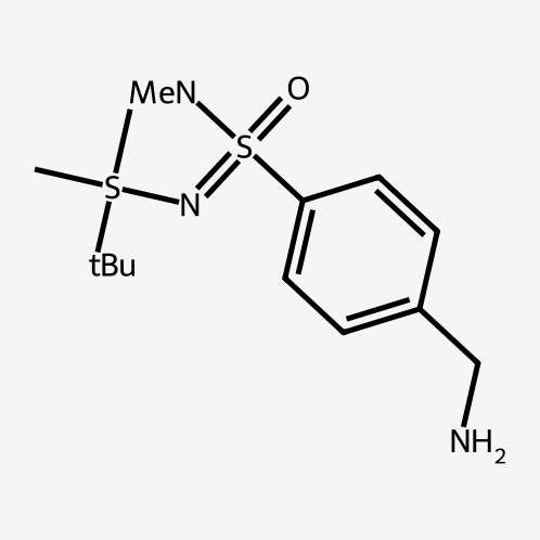 CNS(=O)(=NS(C)(C)C(C)(C)C)c1ccc(CN)cc1